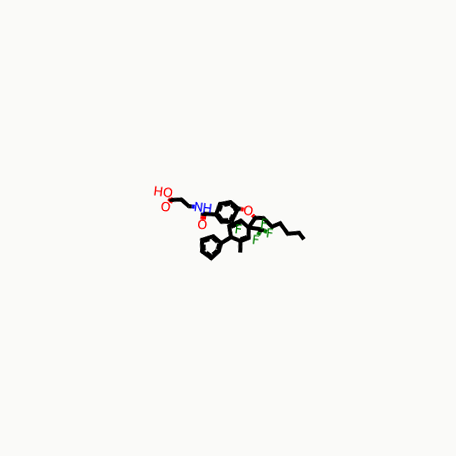 CCCCCCC(Oc1ccc(C(=O)NCCC(=O)O)cc1F)C1(C(F)(F)F)C=CC(c2ccccc2)C(C)=C1